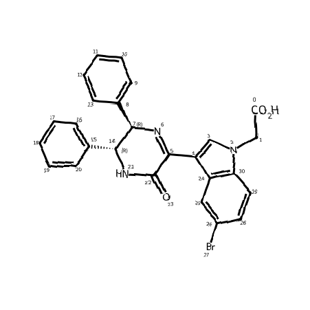 O=C(O)Cn1cc(C2=N[C@H](c3ccccc3)[C@@H](c3ccccc3)NC2=O)c2cc(Br)ccc21